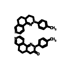 Cc1ccc(N2CCC3CCc4cnccc4C3=N2)cc1.Cc1ccc(N2N=C3c4ccncc4CCC3CC2=O)cc1